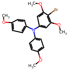 COc1ccc(N(c2ccc(OC)cc2)c2cc(OC)c(Br)c(OC)c2)cc1